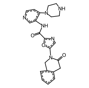 O=C(Nc1cnccc1N1CCNCC1)c1ncc(N2Cc3ccccc3CC2=O)o1